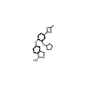 CC1OC(c2ccc(Oc3ccc4c(c3)COB4O)c(OC3CCCC3)c2)O1